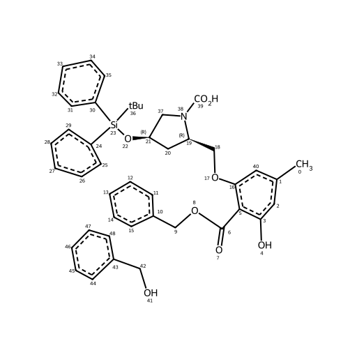 Cc1cc(O)c(C(=O)OCc2ccccc2)c(OC[C@H]2C[C@@H](O[Si](c3ccccc3)(c3ccccc3)C(C)(C)C)CN2C(=O)O)c1.OCc1ccccc1